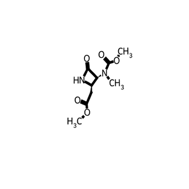 COC(=O)C[C@H]1NC(=O)[C@@H]1N(C)C(=O)OC